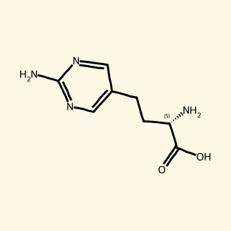 Nc1ncc(CC[C@H](N)C(=O)O)cn1